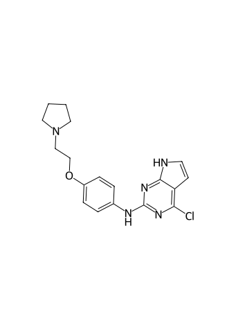 Clc1nc(Nc2ccc(OCCN3CCCC3)cc2)nc2[nH]ccc12